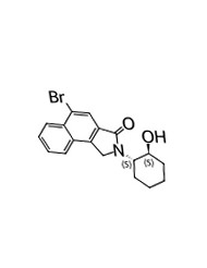 O=C1c2cc(Br)c3ccccc3c2CN1[C@H]1CCCC[C@@H]1O